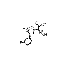 C=C[C@H](CC(=O)C(=[N+]=N)C(=O)[O-])c1cccc(F)c1